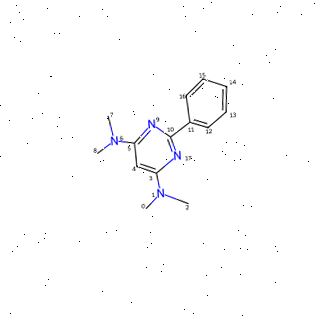 CN(C)c1cc(N(C)C)nc(-c2ccccc2)n1